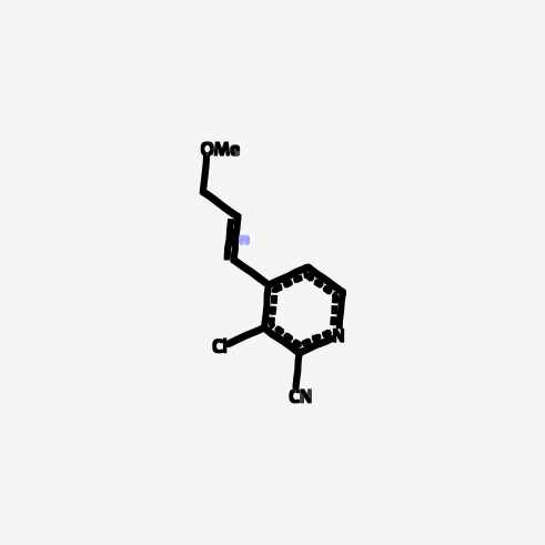 COC/C=C/c1ccnc(C#N)c1Cl